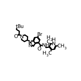 C=C1NC(C)=CC(C)=C1CNC(=O)c1cc(Br)cc2c1cnn2C1CCN(C(=O)CCC(C)(C)C)CC1